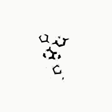 OC[C@H]1O[C@@H](n2cnc3c(N(c4ccc(Cl)nn4)C4CCNC4)ncnc32)[C@@H](O)[C@H]1O